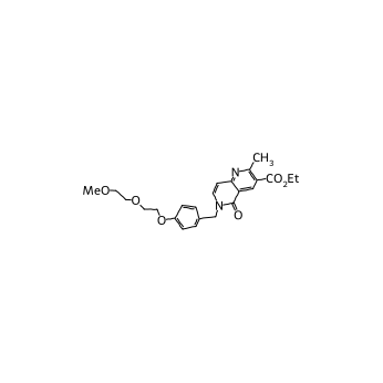 CCOC(=O)c1cc2c(=O)n(Cc3ccc(OCCOCCOC)cc3)ccc2nc1C